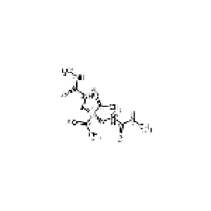 CNC(=S)N[N]=[Cu](=[N]NC(=S)NC)([C](C)=O)[C](C)=O